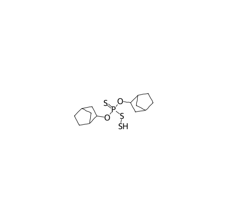 S=P(OC1CC2CCC1C2)(OC1CC2CCC1C2)SS